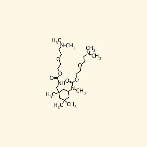 CN(C)CCOCCOC(=O)NCC1(C)CC(N(C)C(=O)OCCOCCN(C)C)CC(C)(C)C1